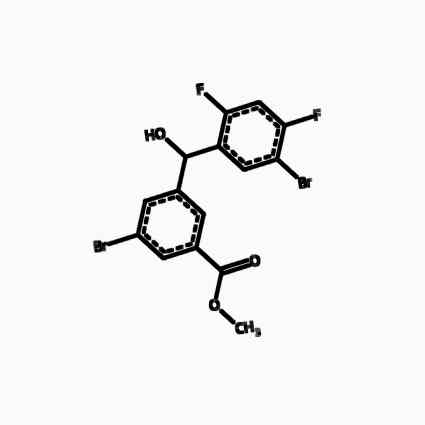 COC(=O)c1cc(Br)cc(C(O)c2cc(Br)c(F)cc2F)c1